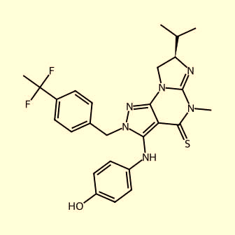 CC(C)[C@@H]1CN2C(=N1)N(C)C(=S)c1c2nn(Cc2ccc(C(C)(F)F)cc2)c1Nc1ccc(O)cc1